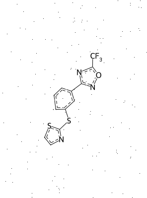 FC(F)(F)c1nc(-c2cc[c]c(Sc3nccs3)c2)no1